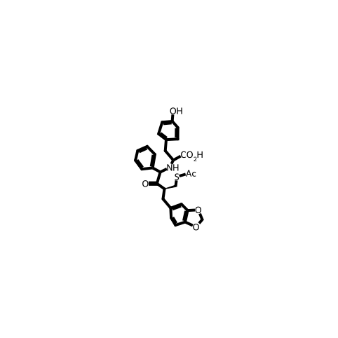 CC(=O)SC[C@@H](Cc1ccc2c(c1)OCO2)C(=O)C(NC(Cc1ccc(O)cc1)C(=O)O)c1ccccc1